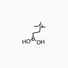 C[Si](C)(C)CCB(O)O